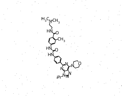 Cc1cc(NC(=O)Nc2ccc(-c3nc(N4CCOCC4)c4nnn(C(C)C)c4n3)cc2)ccc1C(=O)NCCN(C)C